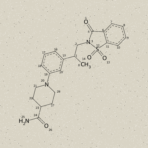 CC(CN1C(=O)c2ccccc2S1(=O)=O)c1cccc(N2CCC(C(N)=O)CC2)c1